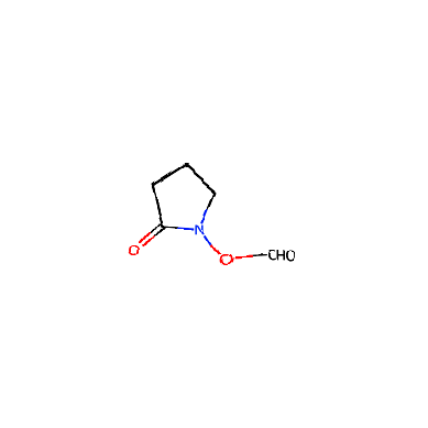 O=CON1CCCC1=O